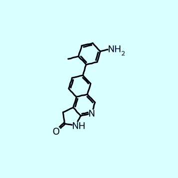 Cc1ccc(N)cc1-c1ccc2c3c(ncc2c1)NC(=O)C3